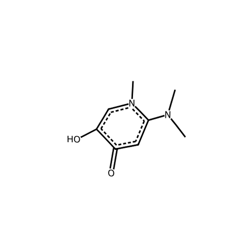 CN(C)c1cc(=O)c(O)cn1C